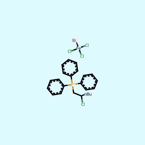 CCCCC(Cl)C[P+](c1ccccc1)(c1ccccc1)c1ccccc1.[Cl][Fe-]([Cl])([Cl])[Br]